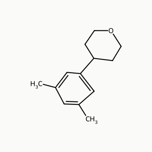 Cc1cc(C)cc(C2CCOCC2)c1